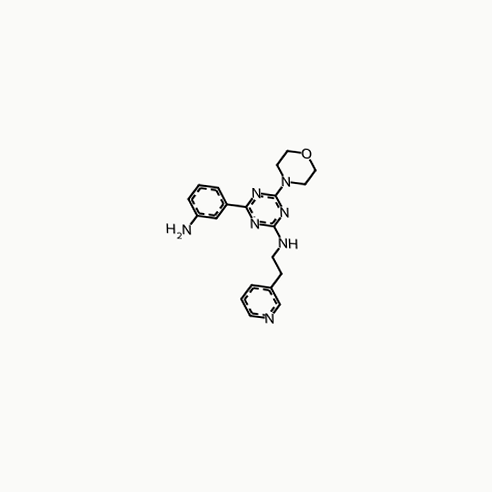 Nc1cccc(-c2nc(NCCc3cccnc3)nc(N3CCOCC3)n2)c1